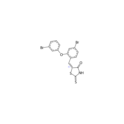 O=C1NC(=S)S/C1=C/c1ccc(Br)cc1Oc1cccc(Br)c1